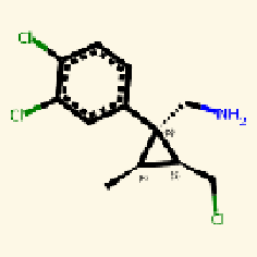 C[C@@H]1[C@H](CCl)[C@]1(CN)c1ccc(Cl)c(Cl)c1